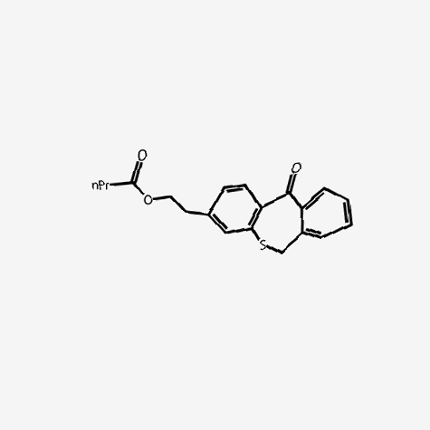 CCCC(=O)OCCc1ccc2c(c1)SCc1ccccc1C2=O